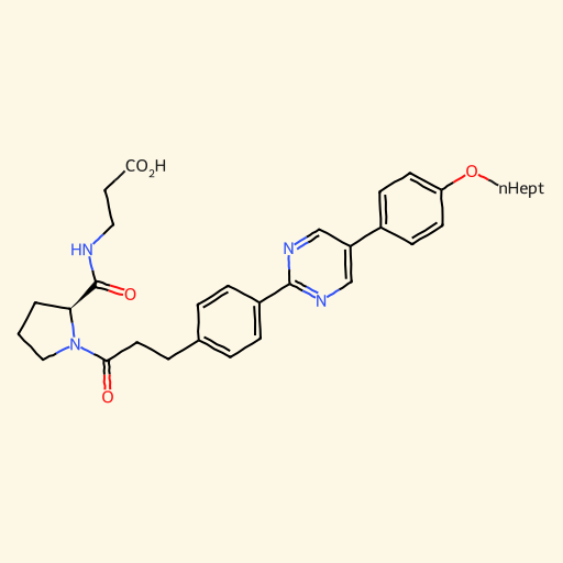 CCCCCCCOc1ccc(-c2cnc(-c3ccc(CCC(=O)N4CCC[C@H]4C(=O)NCCC(=O)O)cc3)nc2)cc1